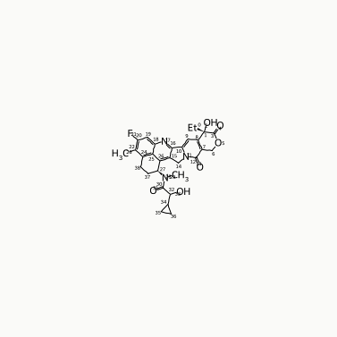 CC[C@@]1(O)C(=O)OCc2c1cc1n(c2=O)Cc2c-1nc1cc(F)c(C)c3c1c2[C@@H](N(C)C(=O)C(O)C1CC1)CC3